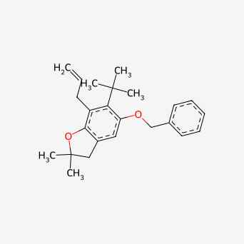 C=CCc1c2c(cc(OCc3ccccc3)c1C(C)(C)C)CC(C)(C)O2